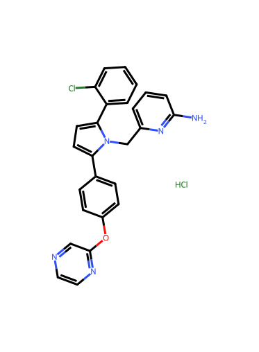 Cl.Nc1cccc(Cn2c(-c3ccc(Oc4cnccn4)cc3)ccc2-c2ccccc2Cl)n1